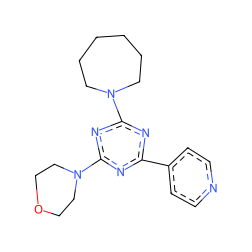 c1cc(-c2nc(N3CCCCCC3)nc(N3CCOCC3)n2)ccn1